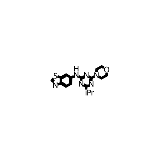 CC(C)c1nc(Nc2ccc3ncsc3c2)nc(N2CCOCC2)n1